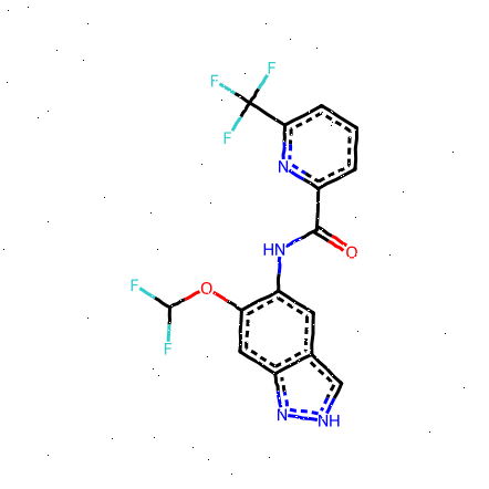 O=C(Nc1cc2c[nH]nc2cc1OC(F)F)c1cccc(C(F)(F)F)n1